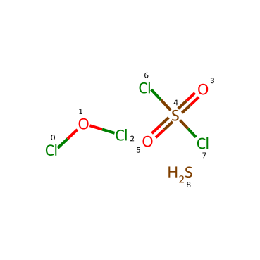 ClOCl.O=S(=O)(Cl)Cl.S